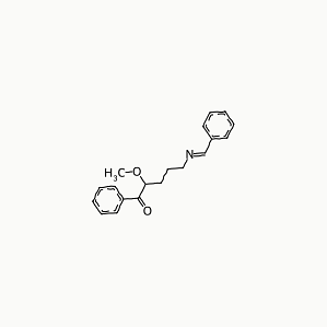 COC(CCCN=Cc1ccccc1)C(=O)c1ccccc1